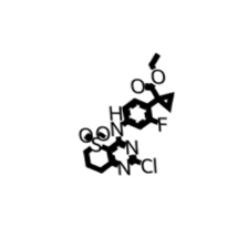 CCOC(=O)C1(c2ccc(Nc3nc(Cl)nc4c3S(=O)(=O)CCC4)cc2F)CC1